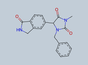 CN1C(=O)C(c2ccc3c(c2)CNC3=O)N(Cc2ccccc2)C1=O